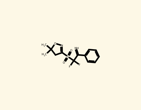 CC1(C)CC(S(=O)(=O)C(F)(F)C(=N)c2ccccc2)=NO1